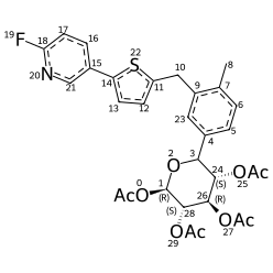 CC(=O)O[C@H]1OC(c2ccc(C)c(Cc3ccc(-c4ccc(F)nc4)s3)c2)[C@H](OC(C)=O)[C@@H](OC(C)=O)[C@@H]1OC(C)=O